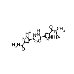 CCN(NC(=O)c1cc(C(=O)N(C)C2CC2)[nH]n1)C(=O)c1cc(C(N)=O)n[nH]1